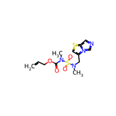 C=CCOC(=O)N(C)S(=O)(=O)N(C)Cc1csc2cncn12